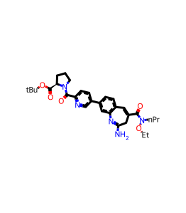 CCCN(OCC)C(=O)C1=Cc2ccc(-c3ccc(C(=O)N4CCC[C@@H]4C(=O)OC(C)(C)C)nc3)cc2N=C(N)C1